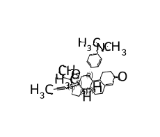 CC#C[C@]1(C(=O)CC)CC[C@H]2[C@@H]3CCC4=CC(=O)CCC4=C3[C@@H](c3ccc(N(C)C)cc3)C[C@@]21C